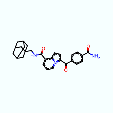 NC(=O)c1ccc(C(=O)c2ccc3c(C(=O)NCC45CC6CC(CC(C6)C4)C5)cccn23)cc1